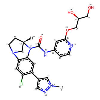 CCn1cc(-c2cc3c(cc2Cl)N2CC[C@@H](C2)N3C(=O)Nc2ccnc(OC[C@@H](O)CO)c2)cn1